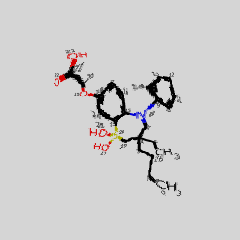 CCCCC1(CC)CN(c2ccccc2)c2ccc(OCC(=O)O)cc2S(O)(O)C1